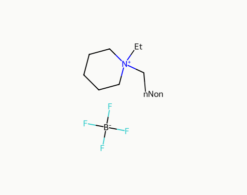 CCCCCCCCCC[N+]1(CC)CCCCC1.F[B-](F)(F)F